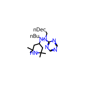 CCCCCCCCCCCN(c1ncncn1)N(CCCC)C1CC(C)(C)NC(C)(C)C1